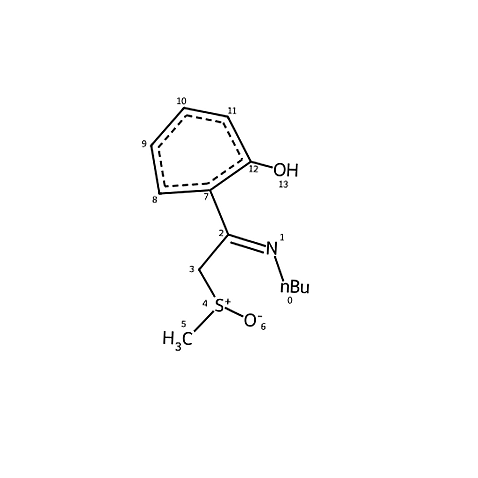 CCCCN=C(C[S+](C)[O-])c1ccccc1O